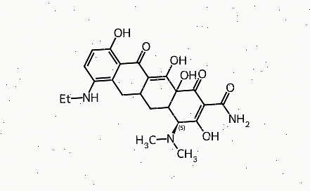 CCNc1ccc(O)c2c1CC1CC3[C@H](N(C)C)C(O)=C(C(N)=O)C(=O)C3(O)C(O)=C1C2=O